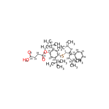 CC(C)C[Si](CSc1cc(C(C)(C)C)c(OC(=O)CCC(=O)O)cc1C(C)(C)C)(CC(C)C)c1ccccc1